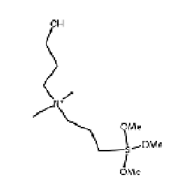 CO[Si](CCC[N+](C)(C)CCCO)(OC)OC